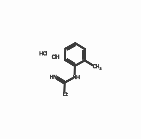 CCC(=N)Nc1ccccc1C.Cl.Cl